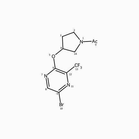 CC(=O)N1CCC(Oc2ncc(Br)nc2C(F)(F)F)C1